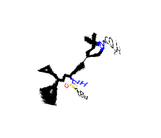 CC1(C)C[C@H](CCC(CCC(C2CC2)C2CC2)N[S+]([O-])C(C)(C)C)CN1C(=O)O